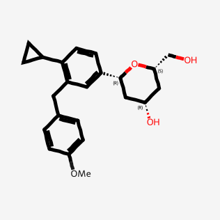 COc1ccc(Cc2cc([C@H]3C[C@@H](O)C[C@@H](CO)O3)ccc2C2CC2)cc1